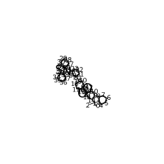 CC1(C)c2ccccc2-c2cc3c(cc21)Oc1ccc(-c2cccc(N4c5ccccc5Sc5ccccc54)c2)cc1O3